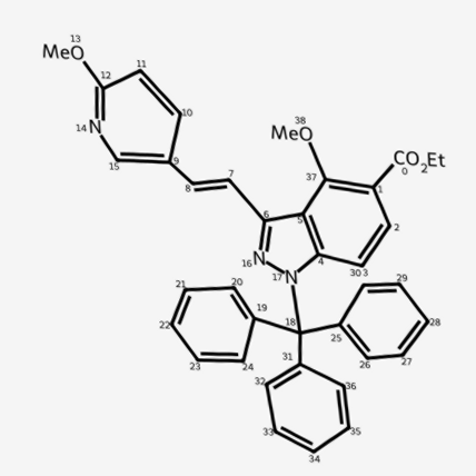 CCOC(=O)c1ccc2c(c(C=Cc3ccc(OC)nc3)nn2C(c2ccccc2)(c2ccccc2)c2ccccc2)c1OC